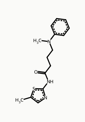 Cc1cnc(NC(=O)CCCN(C)c2ccccc2)s1